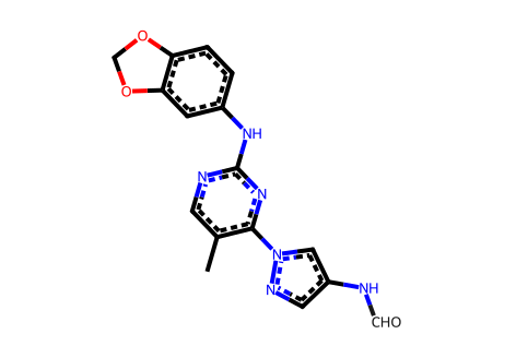 Cc1cnc(Nc2ccc3c(c2)OCO3)nc1-n1cc(NC=O)cn1